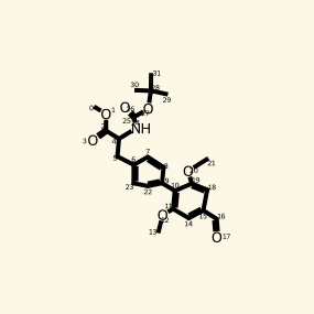 COC(=O)C(Cc1ccc(-c2c(OC)cc(C=O)cc2OC)cc1)NC(=O)OC(C)(C)C